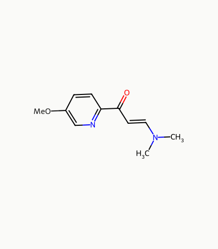 COc1ccc(C(=O)/C=C/N(C)C)nc1